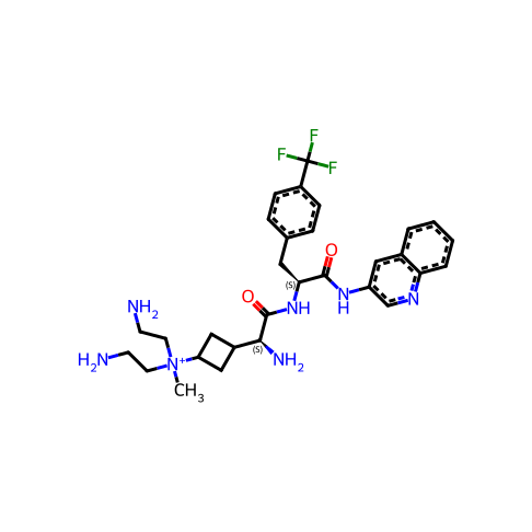 C[N+](CCN)(CCN)C1CC([C@H](N)C(=O)N[C@@H](Cc2ccc(C(F)(F)F)cc2)C(=O)Nc2cnc3ccccc3c2)C1